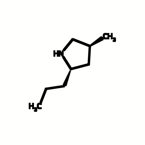 CCC[C@H]1C[C@H](C)CN1